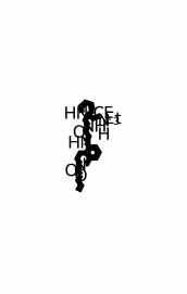 C=CCOC(=O)N1CCc2c(cccc2NCC(=O)NCC2(CCNCC)NC=CC=C2C(F)(F)F)C1